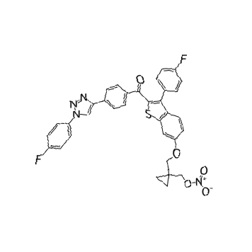 O=C(c1ccc(-c2cn(-c3ccc(F)cc3)nn2)cc1)c1sc2cc(OCC3(CO[N+](=O)[O-])CC3)ccc2c1-c1ccc(F)cc1